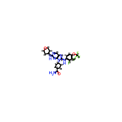 NC(=O)[C@H]1CC[C@@H](n2c(Nc3ccc(OC(F)(F)F)c(F)c3F)nc3cnc(NC4CCOCC4)nc32)CC1